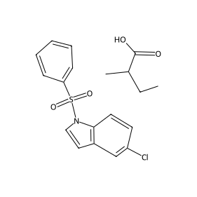 CCC(C)C(=O)O.O=S(=O)(c1ccccc1)n1ccc2cc(Cl)ccc21